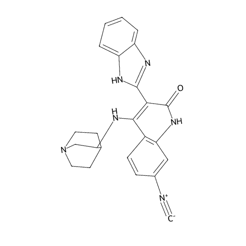 [C-]#[N+]c1ccc2c(NC3CN4CCC3CC4)c(-c3nc4ccccc4[nH]3)c(=O)[nH]c2c1